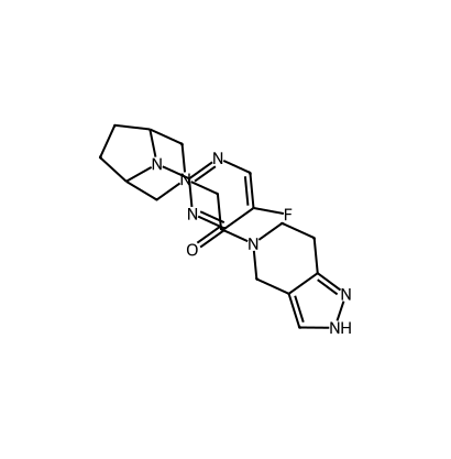 O=C(CN1CC2CCC(C1)N2c1ncc(F)cn1)N1CCc2n[nH]cc2C1